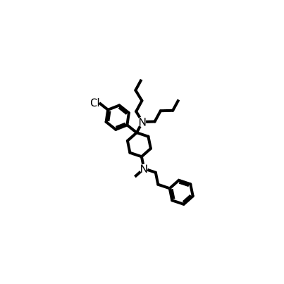 CCCCN(CCCC)C1(c2ccc(Cl)cc2)CCC(N(C)CCc2ccccc2)CC1